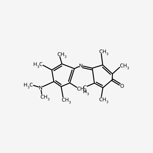 CC1=C(C)C(=Nc2c(C)c(C)c(N(C)C)c(C)c2C)C(C)=C(C)C1=O